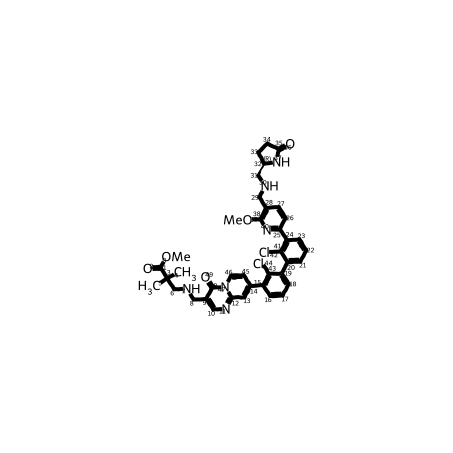 COC(=O)C(C)(C)CNCc1cnc2cc(-c3cccc(-c4cccc(-c5ccc(CNC[C@H]6CCC(=O)N6)c(OC)n5)c4Cl)c3Cl)ccn2c1=O